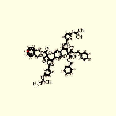 N#CC(C#N)=Nc1ccc(-c2nc3c(s2)-c2cc4c(cc2OC3(C(=O)OCc2ccccc2)C(=O)OCc2ccccc2)-c2sc(-c3ccc(/N=C(/N)C#N)s3)nc2C(C(=O)OCc2ccccc2)(C(=O)OCc2ccccc2)O4)s1